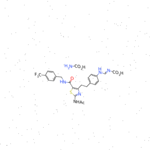 CC(=O)Nc1nc(CCc2ccc(NC=NC(=O)O)cc2)c(C(=O)NCc2ccc(C(F)(F)F)cc2)s1.NC(=O)O